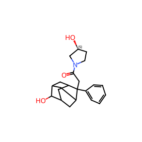 O=C(CC1(c2ccccc2)C2CC3CC1CC(C2)C3O)N1CC[C@H](O)C1